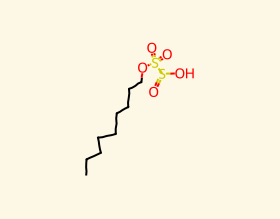 CCCCCCCCCOS(=O)(=O)S(=O)O